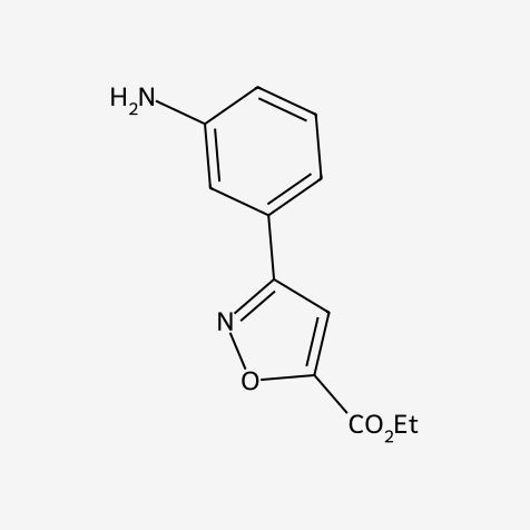 CCOC(=O)c1cc(-c2cccc(N)c2)no1